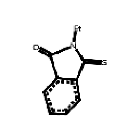 CCN1C(=O)c2ccccc2C1=S